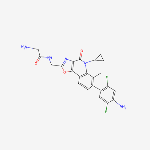 Cc1c(-c2cc(F)c(N)cc2F)ccc2c3oc(CNC(=O)CN)nc3c(=O)n(C3CC3)c12